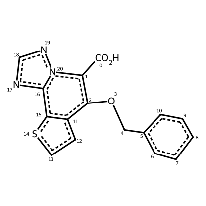 O=C(O)c1c(OCc2ccccc2)c2ccsc2c2ncnn12